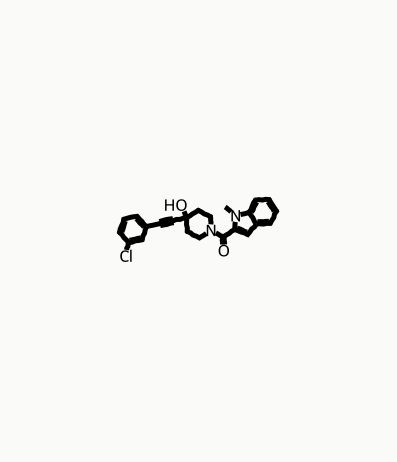 Cn1c(C(=O)N2CCC(O)(C#Cc3cccc(Cl)c3)CC2)cc2ccccc21